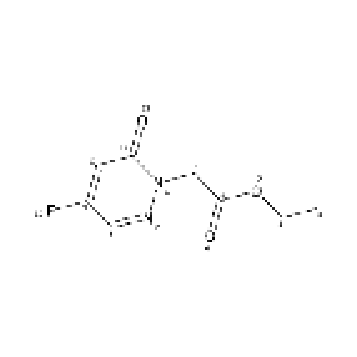 CCOC(=O)Cn1ncc(F)cc1=O